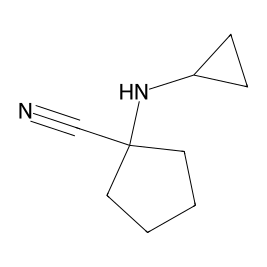 N#CC1(NC2CC2)CCCC1